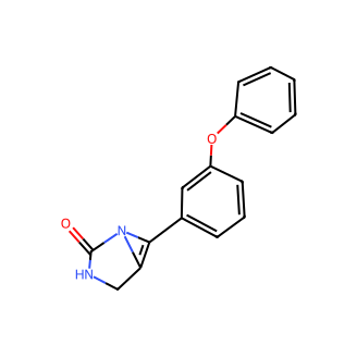 O=C1NCC2=C(c3cccc(Oc4ccccc4)c3)N12